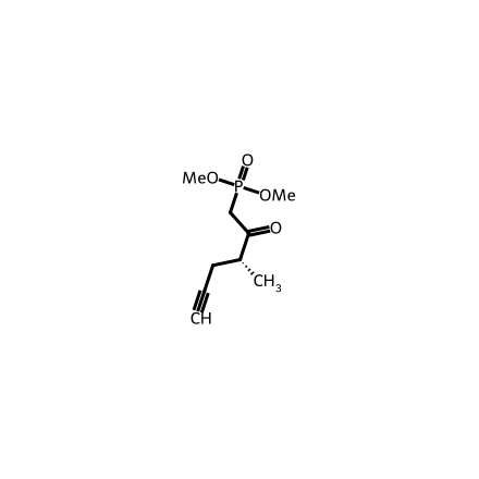 C#CC[C@@H](C)C(=O)CP(=O)(OC)OC